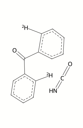 N=C=O.[2H]c1ccccc1C(=O)c1ccccc1[2H]